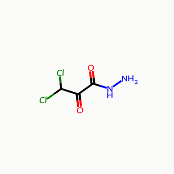 NNC(=O)C(=O)C(Cl)Cl